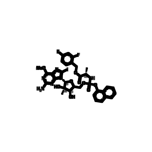 COc1nc(N)nc2c1nc(I)n2[C@@H]1OC(COP(=O)(N[C@@H](C)C(=O)OCc2ccc(F)cc2F)Oc2cccc3ccccc23)[C@@H](O)[C@@]1(C)O